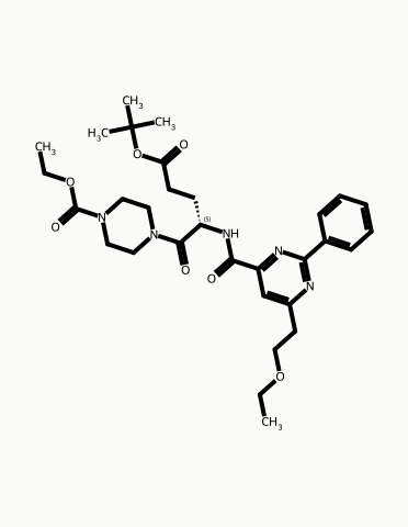 CCOCCc1cc(C(=O)N[C@@H](CCC(=O)OC(C)(C)C)C(=O)N2CCN(C(=O)OCC)CC2)nc(-c2ccccc2)n1